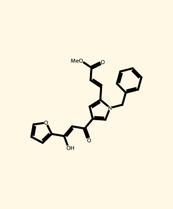 COC(=O)C=Cc1cc(C(=O)C=C(O)c2ccco2)cn1Cc1ccccc1